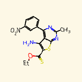 CCOC(=S)c1sc2nc(C)nc(-c3cccc([N+](=O)[O-])c3)c2c1N